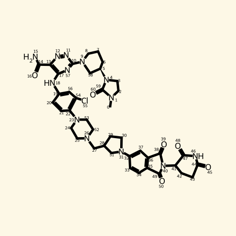 CN1CCN([C@@H]2CCCN(c3nnc(C(N)=O)c(Nc4ccc(N5CCN(CC6CCN(c7ccc8c(c7)C(=O)N(C7CCC(=O)NC7=O)C8=O)C6)CC5)c(Cl)c4)n3)C2)C1=O